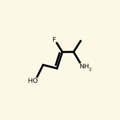 CC(N)/C(F)=C/CO